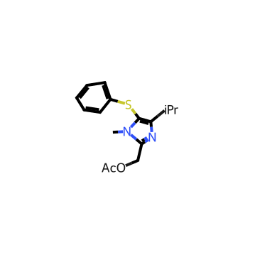 CC(=O)OCc1nc(C(C)C)c(Sc2ccccc2)n1C